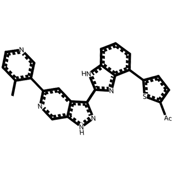 CC(=O)c1ccc(-c2cccc3[nH]c(-c4n[nH]c5cnc(-c6cnccc6C)cc45)nc23)s1